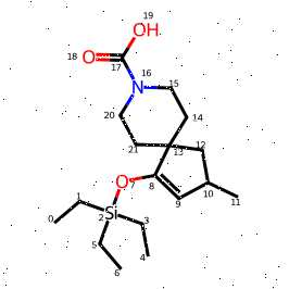 CC[Si](CC)(CC)OC1=CC(C)CC12CCN(C(=O)O)CC2